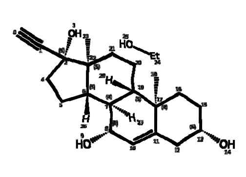 C#C[C@]1(O)CC[C@H]2[C@@H]3[C@@H](O)C=C4C[C@@H](O)CC[C@]4(C)[C@H]3CC[C@@]21C.CCO